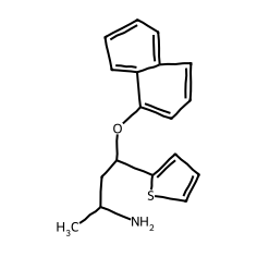 CC(N)CC(Oc1cccc2ccccc12)c1cccs1